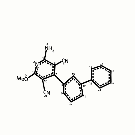 COc1nc(N)c(C#N)c(-c2cccc(-c3ccccc3)c2)c1C#N